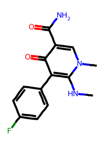 CNc1c(-c2ccc(F)cc2)c(=O)c(C(N)=O)cn1C